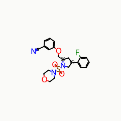 N#Cc1cccc(OC[C@H]2C[C@@H](c3ccccc3F)CN2S(=O)(=O)N2CCOCC2)c1